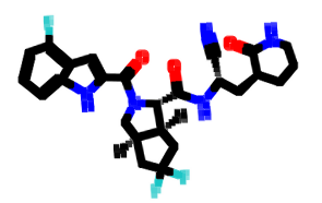 N#C[C@H](C[C@@H]1CCCNC1=O)NC(=O)[C@@H]1[C@H]2CC(F)(F)C[C@H]2CN1C(=O)c1cc2c(F)cccc2[nH]1